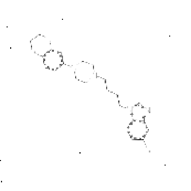 Nc1ccc2c(c1)ncn2CCCCN1CCN(c2ccc3c(c2)OCCO3)CC1